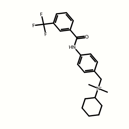 C[N+](C)(Cc1ccc(NC(=O)c2cccc(C(F)(F)F)c2)cc1)C1CCCCC1